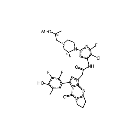 CO[C@@H](C)CN1CCN(c2cc(NC(=O)Cn3cc(-c4cc(C)c(O)c(F)c4F)c4c(=O)n5c(nc43)CCC5)c(Cl)c(F)n2)[C@@H](C)C1